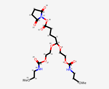 COCCNC(=O)OCCOC(CCCC(=O)ON1C(=O)CCC1=O)OCCOC(=O)NCCOC